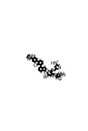 CNc1cncc(COc2nc(O[C@H]3CCc4c(-c5cccc(-c6ccc(C7=NCCN7)cc6)c5Cl)cccc43)c(Br)cc2CNC(C)(CO)C(=O)O)c1